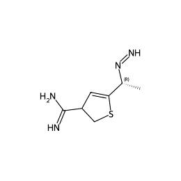 C[C@@H](N=N)C1=CC(C(=N)N)CS1